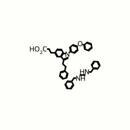 O=C(O)CCc1ccc2c(c1)c(CCc1ccccc1)cn2-c1ccc(Oc2ccccc2)cc1.c1ccc(CNCCNCc2ccccc2)cc1